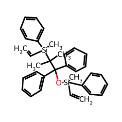 C=C[Si](C)(OC(c1ccccc1)(c1ccccc1)C(C)(C)[Si](C)(C=C)c1ccccc1)c1ccccc1